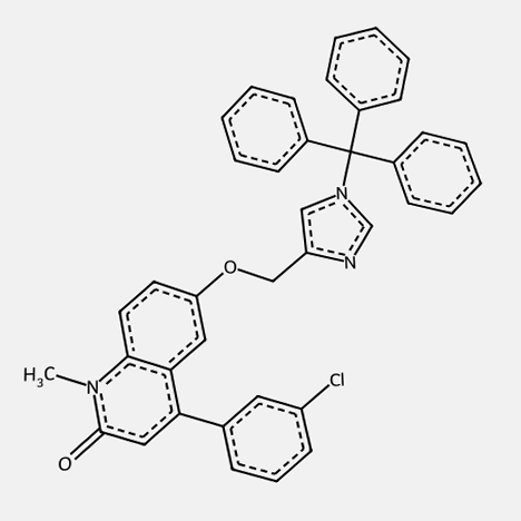 Cn1c(=O)cc(-c2cccc(Cl)c2)c2cc(OCc3cn(C(c4ccccc4)(c4ccccc4)c4ccccc4)cn3)ccc21